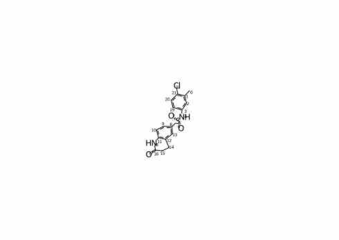 Cc1cc(NS(=O)(=O)c2ccc3c(c2)CCC(=O)N3)ccc1Cl